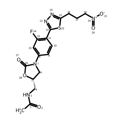 CC(=O)NC[C@H]1CN(c2ccc(-c3nnc(CCC[N+](=O)[O-])s3)c(F)c2)C(=O)O1